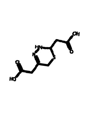 O=C(O)CC1=NNC(CC(=O)O)SC1